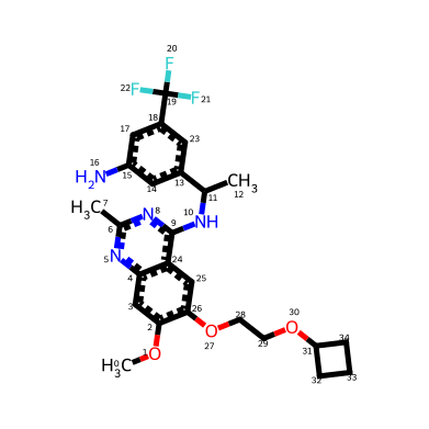 COc1cc2nc(C)nc(NC(C)c3cc(N)cc(C(F)(F)F)c3)c2cc1OCCOC1CCC1